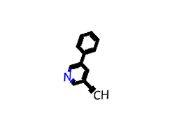 C#Cc1cncc(-c2ccccc2)c1